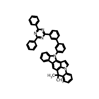 CC1(C)c2ccccc2-n2ccc3c2c1cc1c2ccccc2n(-c2cccc(-c4cccc(-c5nc(-c6ccccc6)nc(-c6ccccc6)n5)c4)c2)c13